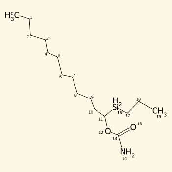 CCCCCCCCCCCC(OC(N)=O)[SiH2]CCC